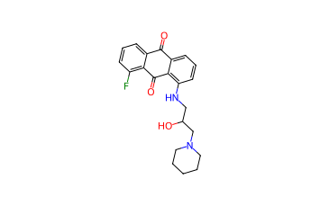 O=C1c2cccc(F)c2C(=O)c2c(NCC(O)CN3CCCCC3)cccc21